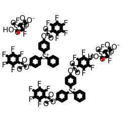 O=S(=O)(Oc1ccc([S+](c2ccccc2)c2ccc(OS(=O)(=O)c3c(F)c(F)c(F)c(F)c3F)cc2)cc1)c1c(F)c(F)c(F)c(F)c1F.O=S(=O)(Oc1ccc([S+](c2ccccc2)c2ccc(OS(=O)(=O)c3c(F)c(F)c(F)c(F)c3F)cc2)cc1)c1c(F)c(F)c(F)c(F)c1F.O=S(=O)([O-])C(F)(C(F)(F)F)S(=O)(=O)O.O=S(=O)([O-])C(F)(C(F)(F)F)S(=O)(=O)O